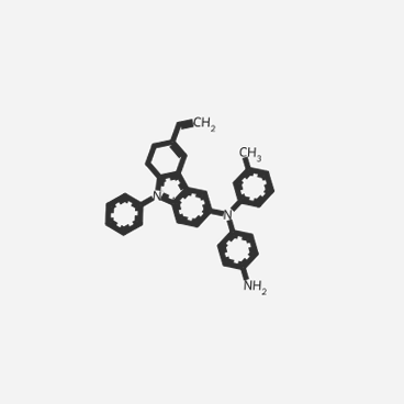 C=CC1=Cc2c(n(-c3ccccc3)c3ccc(N(c4ccc(N)cc4)c4cccc(C)c4)cc23)CC1